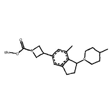 Cc1cc(C2CN(C(=O)OC(C)(C)C)C2)cc2c1C(N1CCC(C)CC1)CC2